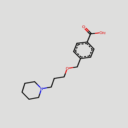 O=C(O)c1ccc(COCCCN2CCCCC2)cc1